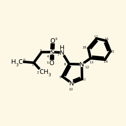 CC(C)CS(=O)(=O)Nc1cncn1-c1ccccc1